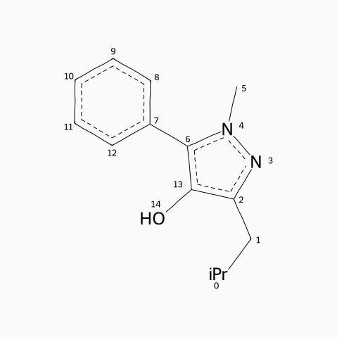 CC(C)Cc1nn(C)c(-c2ccccc2)c1O